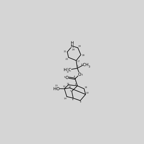 CC(C)(OC(=O)C12CC3CC(CC(O)(C3)C1)C2)C1CCNCC1